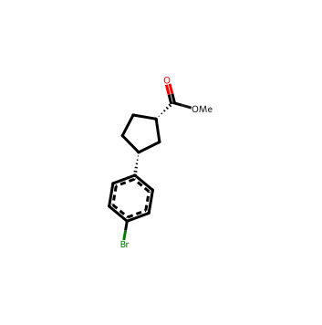 COC(=O)[C@H]1CC[C@@H](c2ccc(Br)cc2)C1